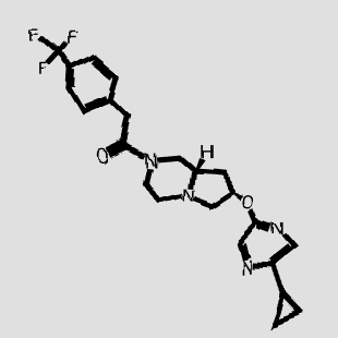 O=C(Cc1ccc(C(F)(F)F)cc1)N1CCN2C[C@H](Oc3cnc(C4CC4)cn3)C[C@H]2C1